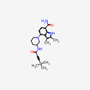 Cc1[nH]c2c(C(N)=O)ccc(N3CCCC(NC(=O)C#C[Si](C)(C)C)C3)c2c1C